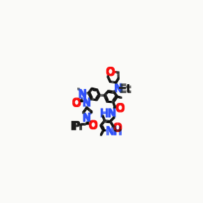 CCN(c1cc(-c2ccc3c(c2)n(C2CN(C(=O)C(C)C)C2)c(=O)n3C)cc(C(=O)NCc2c(C)cc(C)[nH]c2=O)c1C)C1CCOCC1